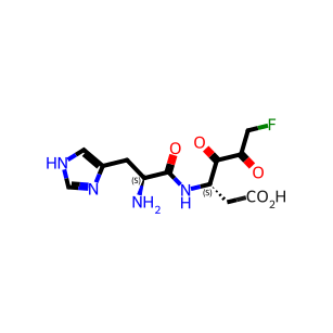 N[C@@H](Cc1c[nH]cn1)C(=O)N[C@@H](CC(=O)O)C(=O)C(=O)CF